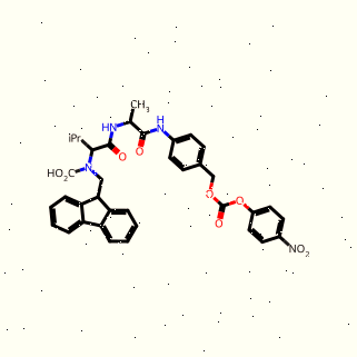 CC(NC(=O)C(C(C)C)N(CC1c2ccccc2-c2ccccc21)C(=O)O)C(=O)Nc1ccc(COC(=O)Oc2ccc([N+](=O)[O-])cc2)cc1